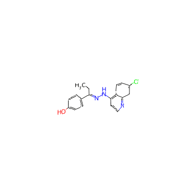 CC/C(=N\Nc1ccnc2cc(Cl)ccc12)c1ccc(O)cc1